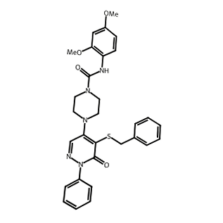 COc1ccc(NC(=O)N2CCN(c3cnn(-c4ccccc4)c(=O)c3SCc3ccccc3)CC2)c(OC)c1